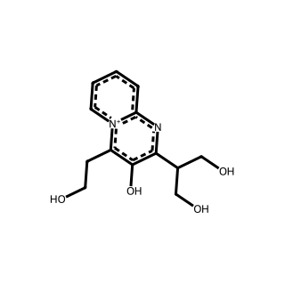 OCCc1c(O)c(C(CO)CO)nc2cccc[n+]12